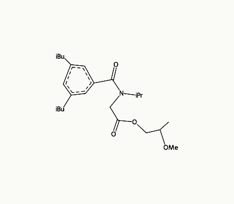 CCC(C)c1cc(C(=O)N(CC(=O)OCC(C)OC)C(C)C)cc(C(C)CC)c1